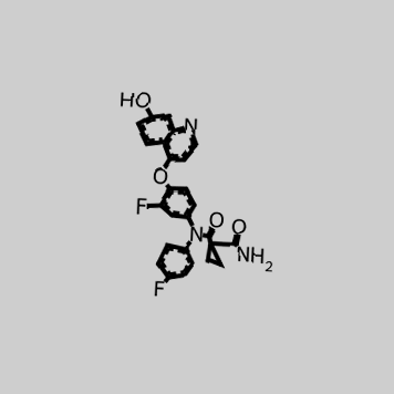 NC(=O)C1(C(=O)N(c2ccc(F)cc2)c2ccc(Oc3ccnc4cc(O)ccc34)c(F)c2)CC1